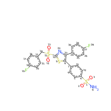 NS(=O)(=O)c1ccc(-c2sc(S(=O)(=O)Cc3ccc(F)cc3)nc2-c2ccc(F)cc2)cc1